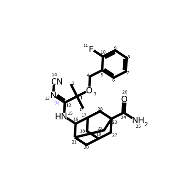 CC(C)(OCc1ccccc1F)/C(=N\C#N)NC1C2CC3CC1CC(C(N)=O)(C3)C2